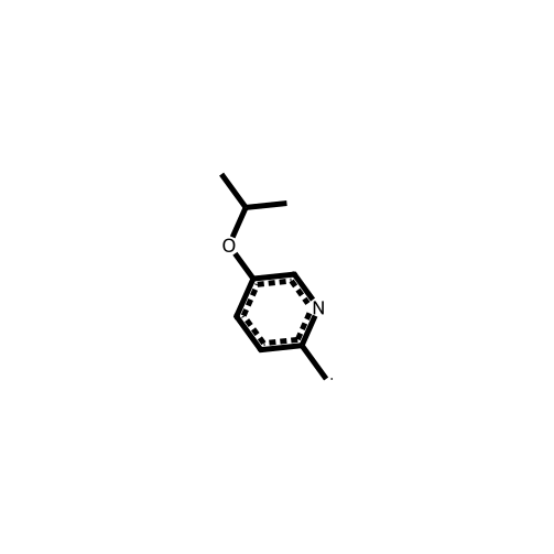 [CH2]c1ccc(OC(C)C)cn1